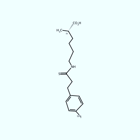 C[C@@H](CCCCNC(=S)CCc1ccc([125I])cc1)C(=O)O